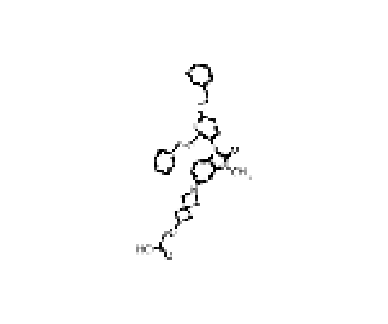 Cn1c(=O)n(-c2ccc(OCc3ccccc3)nc2OCc2ccccc2)c2ccc(N3CC4(CC(OCC(=O)O)C4)C3)cc21